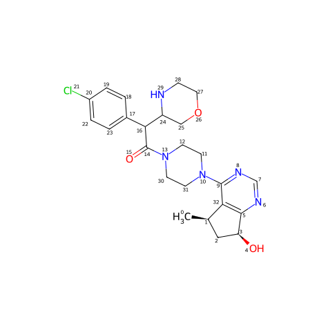 C[C@@H]1C[C@H](O)c2ncnc(N3CCN(C(=O)C(c4ccc(Cl)cc4)C4COCCN4)CC3)c21